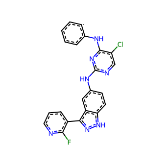 Fc1ncccc1-c1n[nH]c2ccc(Nc3ncc(Cl)c(Nc4[c]cccc4)n3)cc12